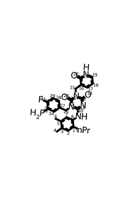 CCCc1cc(C)c(C)cc1Nc1nc(=O)n(Cc2ccc[nH]c2=O)c(=O)n1Cc1ccc(F)c(P)c1